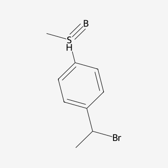 B#[SH](C)c1ccc(C(C)Br)cc1